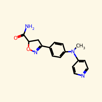 CN(c1ccncc1)c1ccc(C2=NOC(C(N)=O)C2)cc1